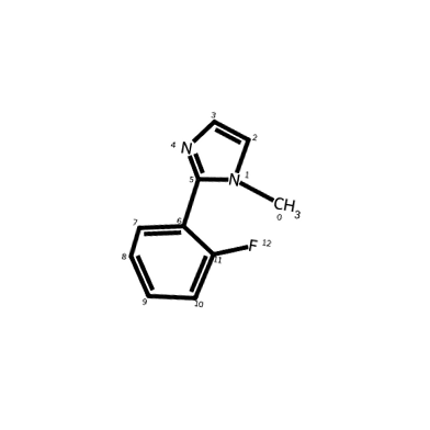 Cn1ccnc1-c1ccccc1F